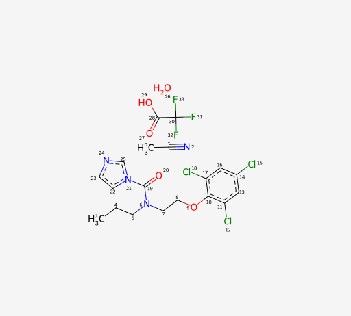 CC#N.CCCN(CCOc1c(Cl)cc(Cl)cc1Cl)C(=O)n1ccnc1.O.O=C(O)C(F)(F)F